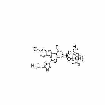 CCc1ncc(C2Oc3cc(B4OC(C)(C)C(C)(C)O4)cc(F)c3-c3cc4cc(Cl)ccc4n32)s1